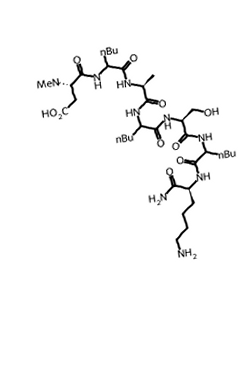 CCCCC(NC(=O)[C@H](C)NC(=O)C(CCCC)NC(=O)[C@H](CC(=O)O)NC)C(=O)N[C@@H](CO)C(=O)NC(CCCC)C(=O)N[C@@H](CCCCN)C(N)=O